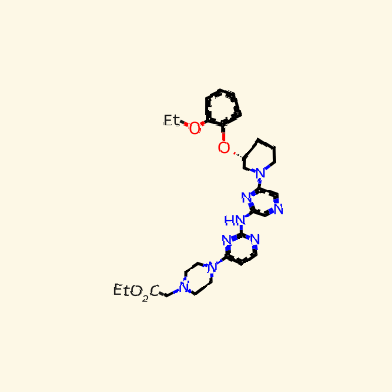 CCOC(=O)CN1CCN(c2ccnc(Nc3cncc(N4CCC[C@@H](Oc5ccccc5OCC)C4)n3)n2)CC1